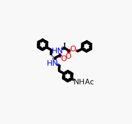 CC(=O)Nc1ccc(CCN[C@H](CCc2ccccc2)C(=O)N[C@@H](C)C(=O)OCc2ccccc2)cc1